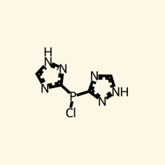 ClP(c1nc[nH]n1)c1nc[nH]n1